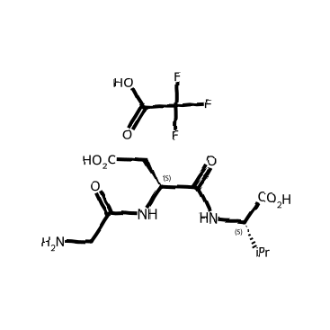 CC(C)[C@H](NC(=O)[C@H](CC(=O)O)NC(=O)CN)C(=O)O.O=C(O)C(F)(F)F